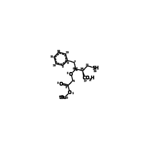 CC(C)(C)OC(=O)CON(Cc1ccccc1)[C@@H](CS)C(=O)O